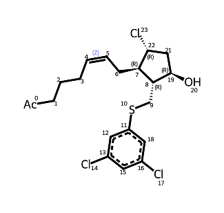 CC(=O)CCC/C=C\C[C@@H]1[C@@H](CSc2cc(Cl)cc(Cl)c2)[C@H](O)C[C@H]1Cl